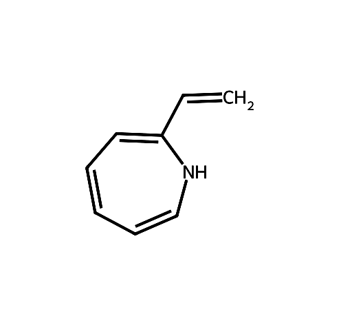 C=CC1=CC=CC=CN1